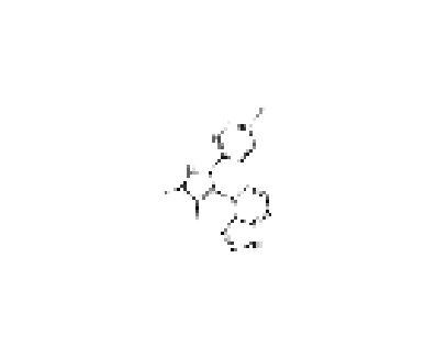 Cc1c(-c2ccnc3[nH]ccc23)c(-c2ccc(F)cn2)nn1C